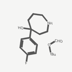 CC(C)(C)OC=O.OC1(c2ccc(F)cc2)CCCNCC1